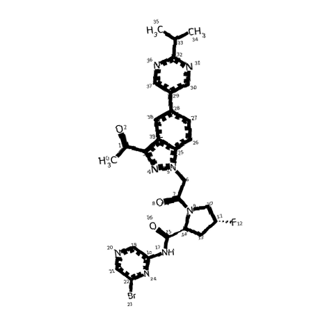 CC(=O)c1nn(CC(=O)N2C[C@H](F)C[C@H]2C(=O)Nc2cncc(Br)n2)c2ccc(-c3cnc(C(C)C)nc3)cc12